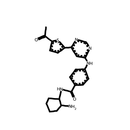 CC(=O)c1ccc(-c2cc(Nc3ccc(C(=O)NC4CCCCC4N)cc3)ncn2)s1